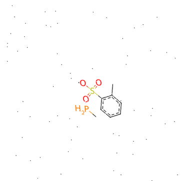 CP.Cc1ccccc1S([O])(=O)=O